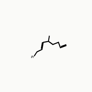 [CH2]C(C)CC=CC(C)CCC=C